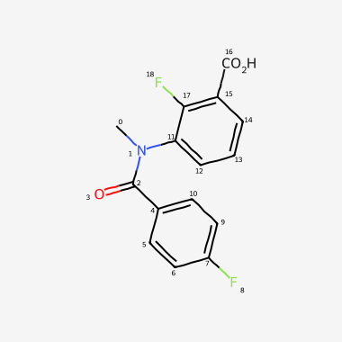 CN(C(=O)c1ccc(F)cc1)c1cccc(C(=O)O)c1F